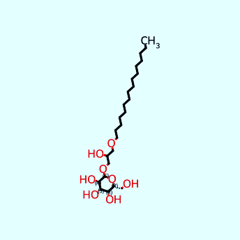 CCCCCCCCCCCCCCCCOCC(O)CO[C@H]1O[C@H](CO)[C@H](O)[C@H](O)[C@H]1O